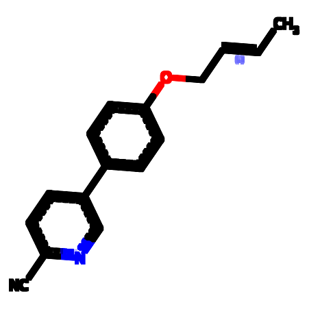 C/C=C/COc1ccc(-c2ccc(C#N)nc2)cc1